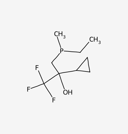 CCP(C)CC(O)(C1CC1)C(F)(F)F